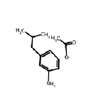 CC(C)Cc1cccc(N)c1.CC([O])=O